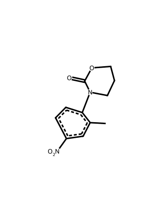 Cc1cc([N+](=O)[O-])ccc1N1CCCOC1=O